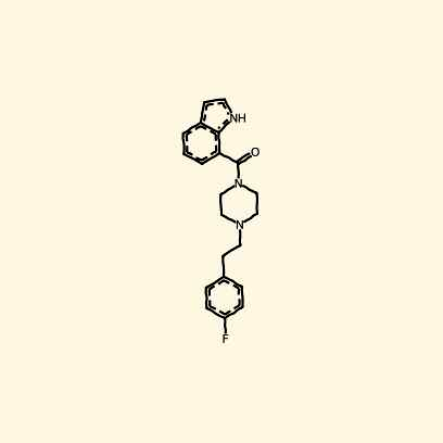 O=C(c1cccc2cc[nH]c12)N1CCN(CCc2ccc(F)cc2)CC1